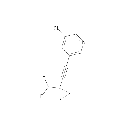 FC(F)C1(C#Cc2cncc(Cl)c2)CC1